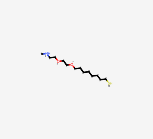 CNCCOCCOCCCCCCCCS